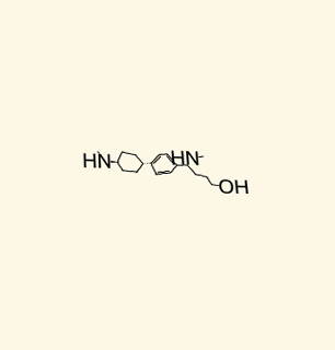 CNC(CCCO)c1ccc([C@H]2CC[C@H](NC)CC2)cc1